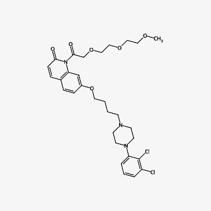 COCCOCCOCC(=O)n1c(=O)ccc2ccc(OCCCCN3CCN(c4cccc(Cl)c4Cl)CC3)cc21